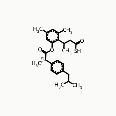 Cc1cc(C)c(C(C)CC(=O)S)c(OC(=O)[C@@H](C)c2ccc(CC(C)C)cc2)c1